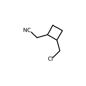 N#CCC1CCC1CCl